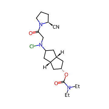 CCN(CC)C(=O)O[C@H]1C[C@H]2CC(N(Cl)CC(=O)N3CCC[C@H]3C#N)C[C@H]2C1